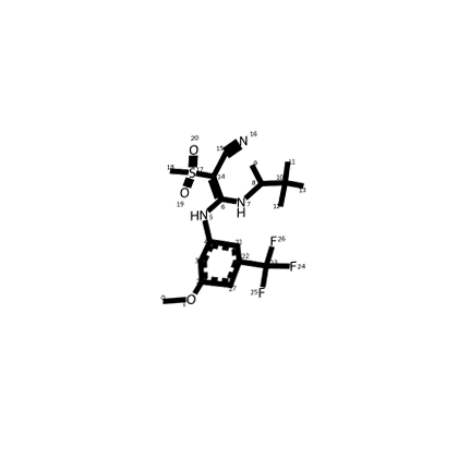 COc1cc(NC(NC(C)C(C)(C)C)=C(C#N)S(C)(=O)=O)cc(C(F)(F)F)c1